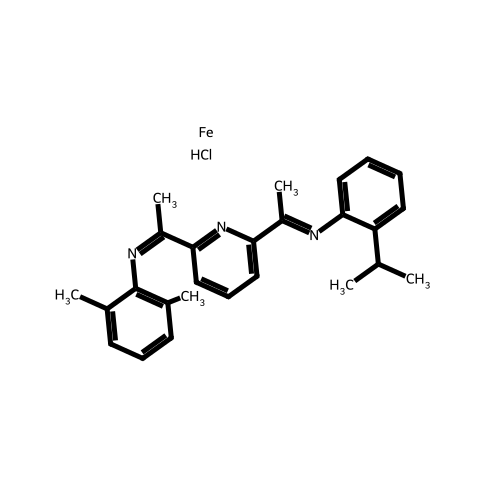 C/C(=N/c1c(C)cccc1C)c1cccc(/C(C)=N/c2ccccc2C(C)C)n1.Cl.[Fe]